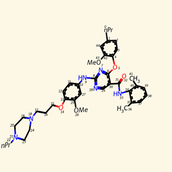 CCCc1ccc(Oc2nc(Nc3ccc(OCCCN4CCN(CCC)CC4)c(OC)c3)ncc2C(=O)Nc2c(C)cccc2C)c(OC)c1